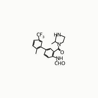 Cc1ccc(C(F)(F)F)cc1-c1ccc(NC=O)c(C(=O)N2CCNCC2C)c1